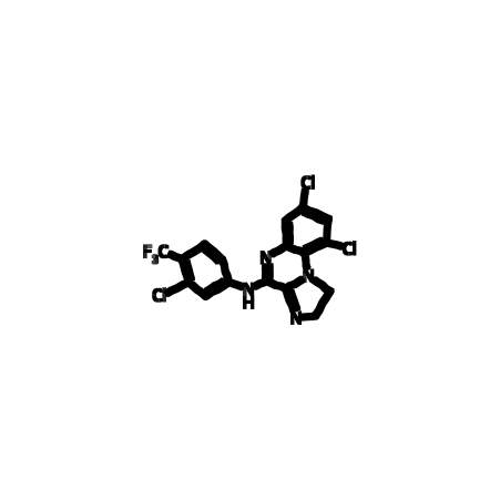 FC(F)(F)c1ccc(NC2=Nc3cc(Cl)cc(Cl)c3N3CCN=C23)cc1Cl